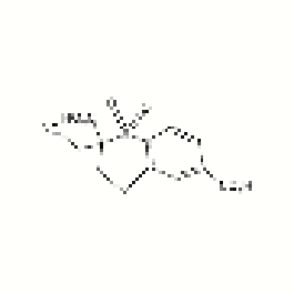 N#CCC1(C(=O)O)CCc2cc(C(=O)O)ccc2S1(=O)=O